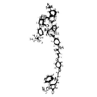 CC(=O)N[C@@H]1C[C@H](NC(C)(C)C)CC[C@@H]1N1CC[C@H](Nc2nc([C@H]3CC[C@H](NC(=O)[C@H]4CC[C@H](NC(=O)CCCO[C@H]5CC[C@H](OCCNCC6CC(=O)N(C)[C@@H]6c6cccnc6)CC5)CC4)CC3)nc3ccc(C(F)(F)F)cc23)C1=O